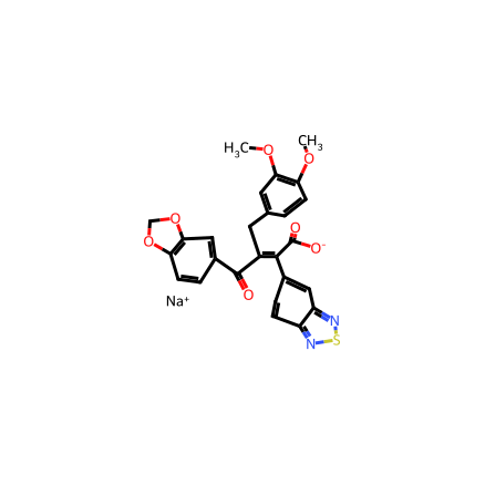 COc1ccc(CC(C(=O)c2ccc3c(c2)OCO3)=C(C(=O)[O-])c2ccc3nsnc3c2)cc1OC.[Na+]